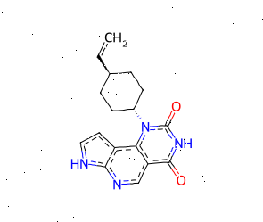 C=C[C@H]1CC[C@H](n2c(=O)[nH]c(=O)c3cnc4[nH]ccc4c32)CC1